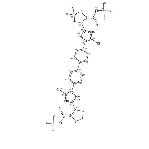 CC(C)(C)OC(=O)N1CCCC1c1nc(Cl)c(-c2ccc(-c3ccc(-c4[nH]c(C5C[Si](C)(C)CN5C(=O)OC(C)(C)C)nc4Cl)cc3)cc2)[nH]1